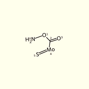 NO[C](=O)[Mo]=[S]